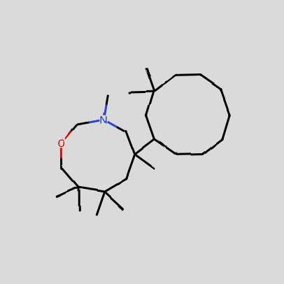 CN1COCC(C)(C)C(C)(C)CC(C)(C2CCCCCCCC(C)(C)C2)C1